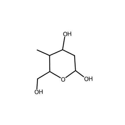 CC1C(O)CC(O)OC1CO